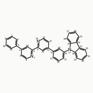 c1ccc(-c2ccnc(-c3cc(-c4cccc(-n5c6ccccc6c6ccccc65)c4)ccn3)c2)cc1